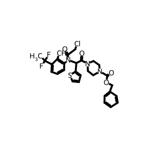 Cc1c(N(C(=O)CCl)C(C(=O)N2CCN(C(=O)OCc3ccccc3)CC2)c2cccs2)cccc1C(C)(F)F